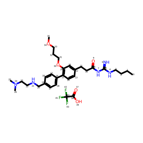 CCCCNC(=N)NC(=O)CCc1ccc(-c2ccc(CNCCN(C)C)cc2)c(OCCCOC)c1.O=C(O)C(F)(F)F